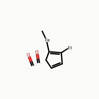 CCC1=[C]([Fe][CH3])CC=C1.[C]=O.[C]=O